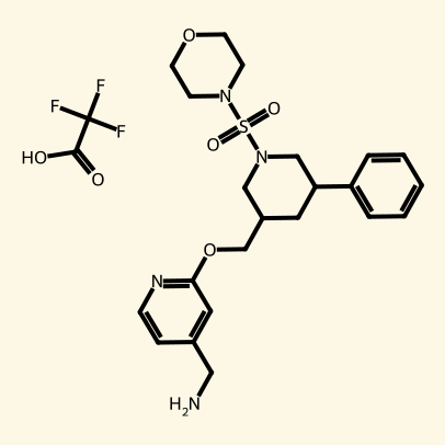 NCc1ccnc(OCC2CC(c3ccccc3)CN(S(=O)(=O)N3CCOCC3)C2)c1.O=C(O)C(F)(F)F